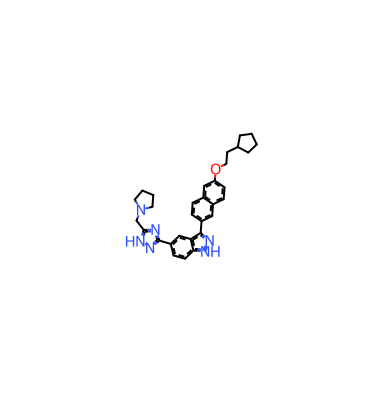 c1cc2cc(-c3n[nH]c4ccc(-c5n[nH]c(CN6CCCC6)n5)cc34)ccc2cc1OCCC1CCCC1